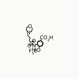 O=C(O)c1ccc(OC(F)(F)F)c(NS(=O)(=O)CCCN2CCOCC2)c1